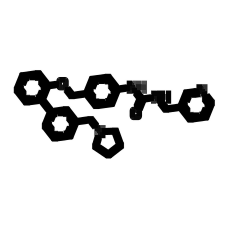 O=C(NCc1cccnc1)Nc1ccc(COc2ccccc2-c2cccc(CN3CCCC3)c2)cc1